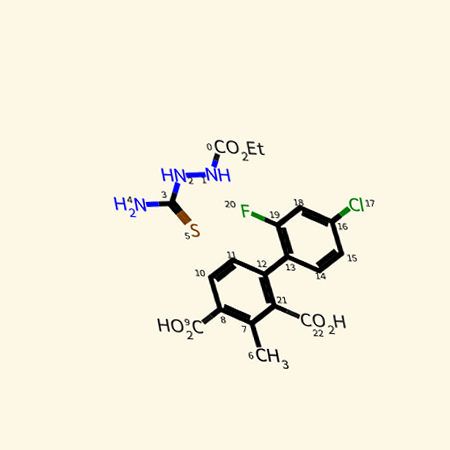 CCOC(=O)NNC(N)=S.Cc1c(C(=O)O)ccc(-c2ccc(Cl)cc2F)c1C(=O)O